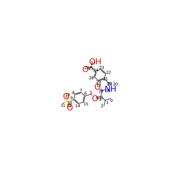 CC(C)[C@H](OCc1ccc(S(C)(=O)=O)cc1)C(=O)N[C@@H](C)c1ccc(C(=O)O)cc1